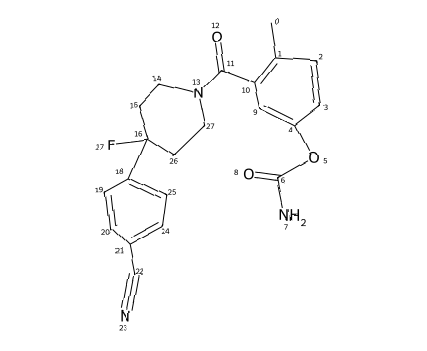 Cc1ccc(OC(N)=O)cc1C(=O)N1CCC(F)(c2ccc(C#N)cc2)CC1